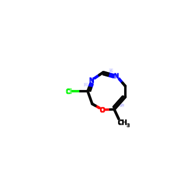 C/C1=C/C/N=C\N=C(\Cl)CO1